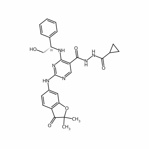 CC1(C)Oc2cc(Nc3ncc(C(=O)NNC(=O)C4CC4)c(N[C@H](CO)c4ccccc4)n3)ccc2C1=O